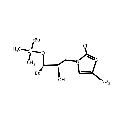 CC[C@@H](O[Si](C)(C)C(C)(C)C)[C@H](O)Cn1cc([N+](=O)[O-])nc1Cl